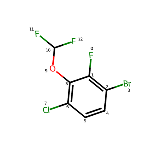 Fc1c(Br)ccc(Cl)c1OC(F)F